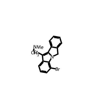 CCc1c2n(c3c(Br)cccc13)Cc1ccccc1-2.CNC